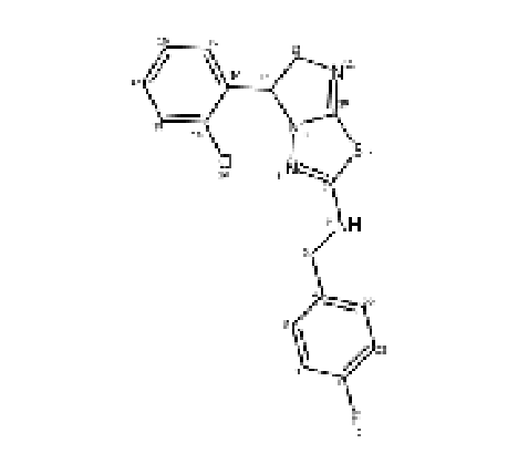 Fc1ccc(CNC2=NN3C(=NCC3c3ccccc3Cl)S2)cc1